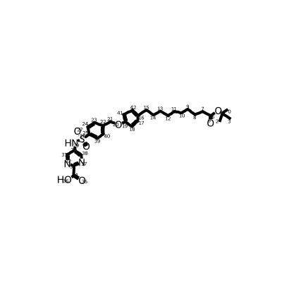 CC(C)(C)OC(=O)CCCCCCCCCc1ccc(OCc2ccc(S(=O)(=O)Nc3cnc(C(=O)O)nc3)cc2)cc1